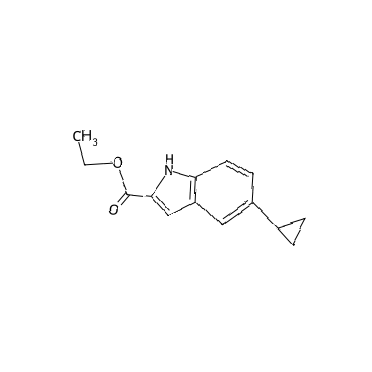 CCOC(=O)c1cc2cc(C3CC3)ccc2[nH]1